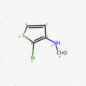 O=CNc1ccsc1Br